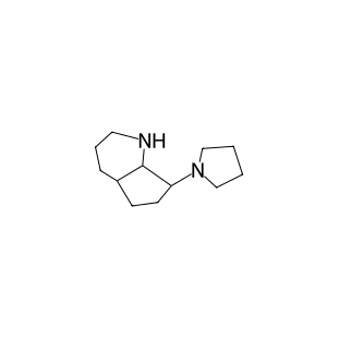 C1CNC2C(C1)CCC2N1CCCC1